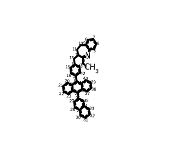 CCC1=Nc2ccccc2CCC1Cc1ccc(-c2c3ccccc3c(-c3ccc4ccccc4c3)c3ccccc23)cc1